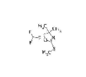 CSC1=NC(C)(C)CO1.FC(F)F